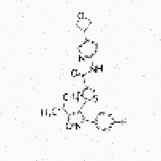 CC(C)c1onc(-c2ccc(F)cc2)c1-c1nc(C(=O)Nc2ccc(C3COC3)cn2)cs1